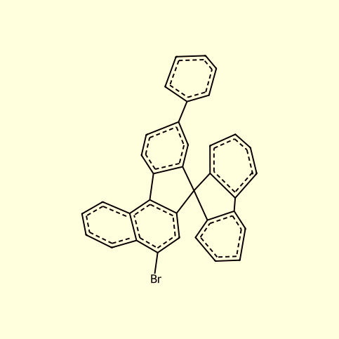 Brc1cc2c(c3ccccc13)-c1ccc(-c3ccccc3)cc1C21c2ccccc2-c2ccccc21